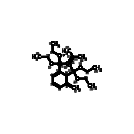 C=C1C=CC=C([Si](OCC)(OCC)OCC)C1[Si](OCC)(OCC)OCC